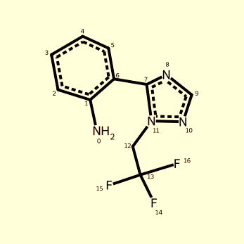 Nc1ccccc1-c1ncnn1CC(F)(F)F